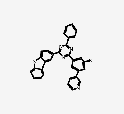 Brc1cc(-c2cccnc2)cc(-c2nc(-c3ccccc3)nc(-c3ccc4sc5ccccc5c4c3)n2)c1